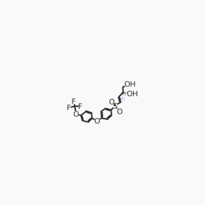 O=S(=O)(/C=C/[C@@H](O)CO)c1ccc(Oc2ccc(OC(F)(F)F)cc2)cc1